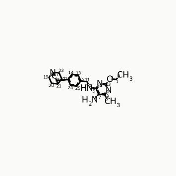 CCOc1nc(C)c(N)c(NCc2ccc(C3CN4CCC3CC4)cc2)n1